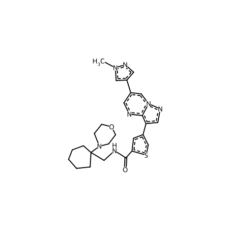 Cn1cc(-c2cnc3c(-c4csc(C(=O)NCC5(N6CCOCC6)CCCCC5)c4)cnn3c2)cn1